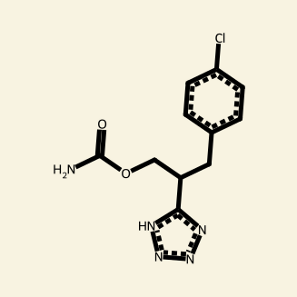 NC(=O)OCC(Cc1ccc(Cl)cc1)c1nnn[nH]1